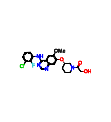 COc1cc2c(Nc3cccc(Cl)c3F)ncnc2cc1O[C@H]1CCCN(C(=O)CO)C1